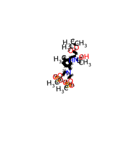 CB(O)N[C@H](CC(=O)OC(C)(C)C)Cc1cc(CN(CCOS(C)(=O)=O)CCOS(C)(=O)=O)ccc1C